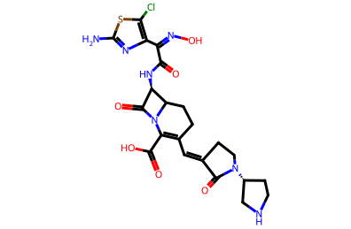 Nc1nc(/C(=N/O)C(=O)N[C@@H]2C(=O)N3C(C(=O)O)=C(/C=C4\CCN([C@@H]5CCNC5)C4=O)CCC23)c(Cl)s1